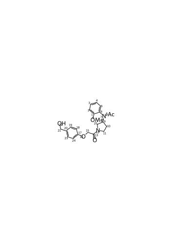 COc1ccccc1N(C(C)=O)C1CCN(C(=O)COc2ccc(CO)cc2)C1